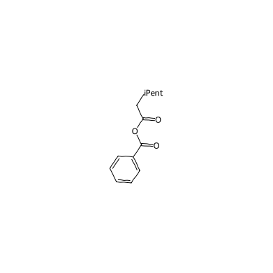 CCCC(C)CC(=O)OC(=O)c1ccccc1